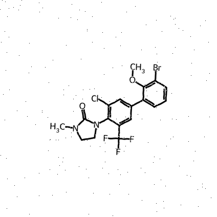 COc1c(Br)cccc1-c1cc(Cl)c(N2CCN(C)C2=O)c(C(F)(F)F)c1